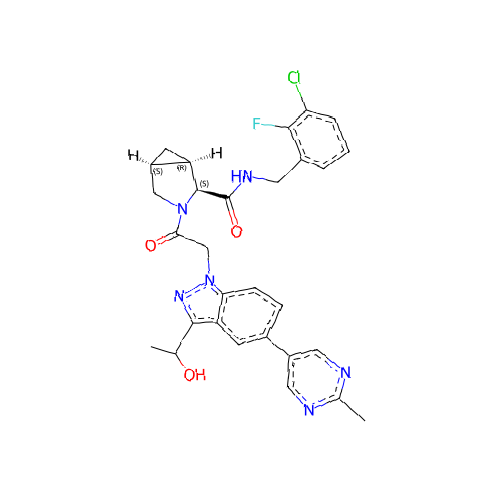 Cc1ncc(-c2ccc3c(c2)c(C(C)O)nn3CC(=O)N2C[C@H]3C[C@H]3[C@H]2C(=O)NCc2cccc(Cl)c2F)cn1